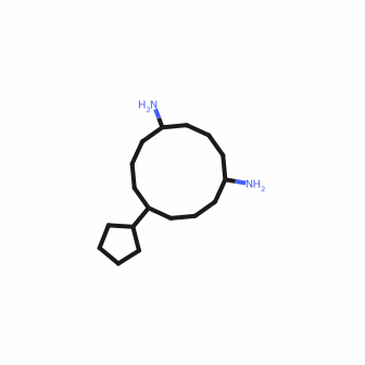 NC1CCCC(N)CCCC(C2CCCC2)CCC1